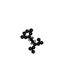 O=C1C2C(C(=O)N1c1cc(-c3ccc4c(c3)c3ccccc3n4-c3ccccc3)cc(-c3ccc4c5ccccc5n(-c5ccccc5)c4c3)c1)C1C(=O)N(c3cc(-c4ccc5c6ccccc6n(-c6ccccc6)c5c4)cc(-c4ccc5c6ccccc6n(-c6ccccc6)c5c4)c3)C(=O)C21